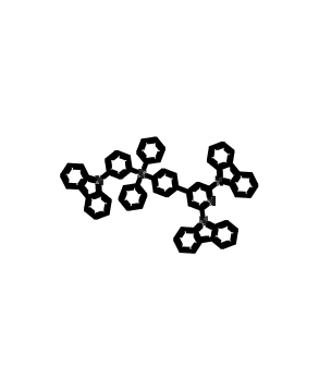 c1ccc([Si](c2ccccc2)(c2ccc(-c3cc(-n4c5ccccc5c5ccccc54)nc(-n4c5ccccc5c5ccccc54)c3)cc2)c2cccc(-n3c4ccccc4c4ccccc43)c2)cc1